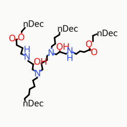 CCCCCCCCCCCCCCCCN(CCCCN(CCCCCCCCCCCCCC)CC(O)CNCCCC(=O)OCCCCCCCCCCCC)CC(O)CNCCCC(=O)OCCCCCCCCCCCC